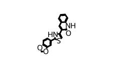 O=c1[nH]c2ccccc2cc1C1=CSC(c2ccc3c(c2)OCO3)N1